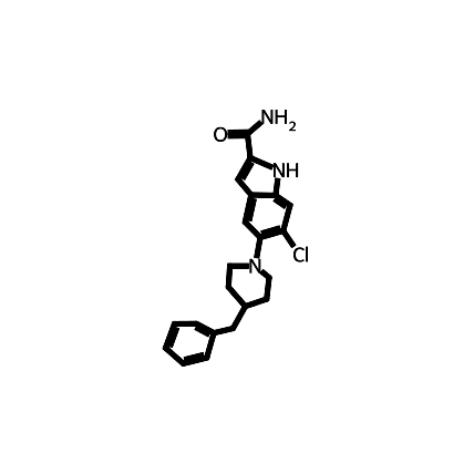 NC(=O)c1cc2cc(N3CCC(Cc4ccccc4)CC3)c(Cl)cc2[nH]1